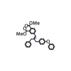 COC(=O)c1ccc(/C=C(\Cc2ccccc2)Cc2ccc(Oc3ccccc3)cc2)cc1C(=O)OC